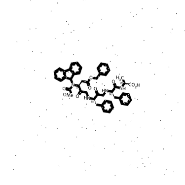 COC(=O)N(C1c2ccccc2-c2ccccc21)[C@@H](CC(=O)OCc1ccccc1)C(=O)CN[C@@H](Cc1ccccc1)C(=O)CN[C@@H](Cc1ccccc1)C(=O)N[C@@H](C)C(=O)O